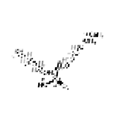 O.O.O.O.O.O.O.O.O.O.O=[N+]([O-])O.[CaH2].[KH]